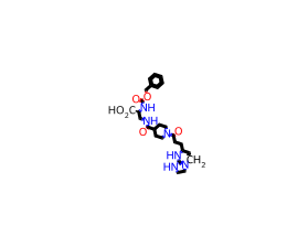 C=CC(CCC(=O)N1CCC(C(=O)NC[C@H](NC(=O)OCc2ccccc2)C(=O)O)CC1)NC1=NCCN1